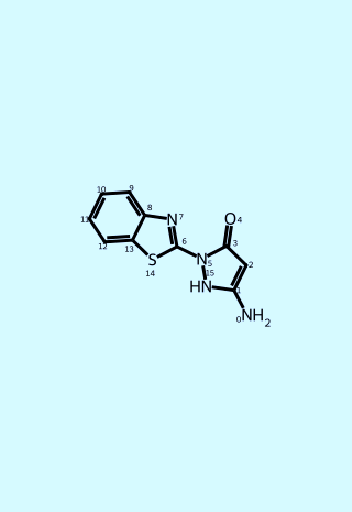 Nc1cc(=O)n(-c2nc3ccccc3s2)[nH]1